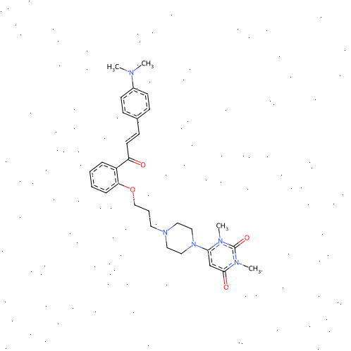 CN(C)c1ccc(/C=C/C(=O)c2ccccc2OCCCN2CCN(c3cc(=O)n(C)c(=O)n3C)CC2)cc1